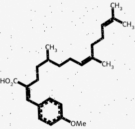 COc1ccc(/C=C(\CCC(C)CCC=C(C)CCC=C(C)C)C(=O)O)cc1